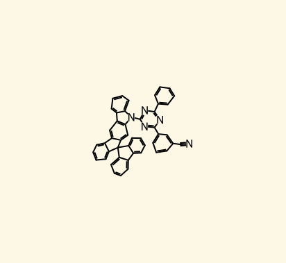 N#Cc1cccc(-c2nc(-c3ccccc3)nc(-n3c4ccccc4c4cc5c(cc43)C3(c4ccccc4-c4ccccc43)c3ccccc3-5)n2)c1